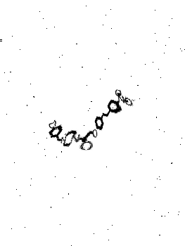 O=C(COc1ccc(/C=C/c2ccc([N+](=O)[O-])cc2)cc1)N1CCN(Cc2ccc(Cl)cc2)CC1